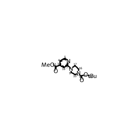 COC(=O)c1ccnc(N2CCN(C(=O)OC(C)(C)C)CC2)c1